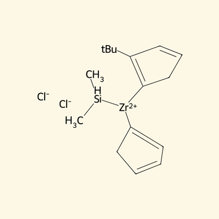 C[SiH](C)[Zr+2]([C]1=CC=CC1)[C]1=C(C(C)(C)C)C=CC1.[Cl-].[Cl-]